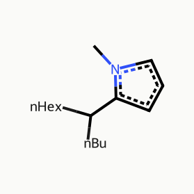 CCCCCCC(CCCC)c1cccn1C